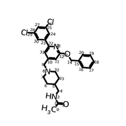 CC(=O)NCC1CCN(Cc2cc(OCc3ccccc3)nc(-c3cc(Cl)cc(Cl)c3)c2)CC1